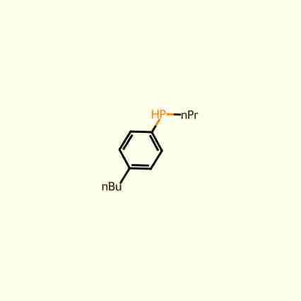 CCCCc1ccc(PCCC)cc1